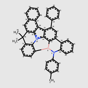 Cc1ccc(N2B3c4cccc5c4-n4c6c3c(cc(-c3ccccc3)c6c3c6ccccc6cc(c34)C5(C)C)-c3ccccc32)cc1